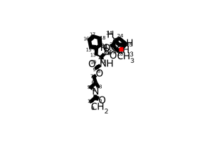 C=CC(=O)N1CC(COC(=O)N[C@@H](Cc2ccccc2)B2OC3[C@H]4C[C@@H](C[C@@]3(C)O2)C4(C)C)C1